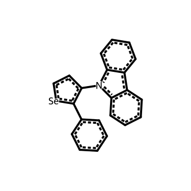 c1ccc(-c2[se]ccc2-n2c3ccccc3c3ccccc32)cc1